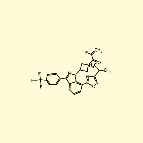 C=C(F)C(=O)N1CC(n2nc(-c3ccc(C(F)(F)F)cc3)c3cccc(-c4nc(C(C)C)no4)c32)C1